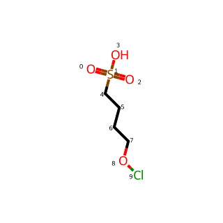 O=S(=O)(O)CCCCOCl